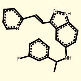 CC(Nc1ccc2[nH]nc(C=Cc3ccccn3)c2c1)c1cccc(F)c1